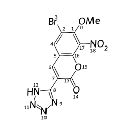 COc1c(Br)cc2cc(-c3nnn[nH]3)c(=O)oc2c1[N+](=O)[O-]